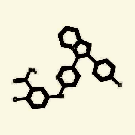 NC(=O)c1cc(Nc2ccc(-c3c(-c4ccc(Cl)cc4)nc4ccccn34)cn2)ccc1Cl